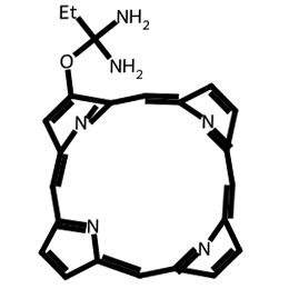 CCC(N)(N)OC1=CC2=CC3=NC(=CC4=NC(=CC5=NC(=CC1=N2)C=C5)C=C4)C=C3